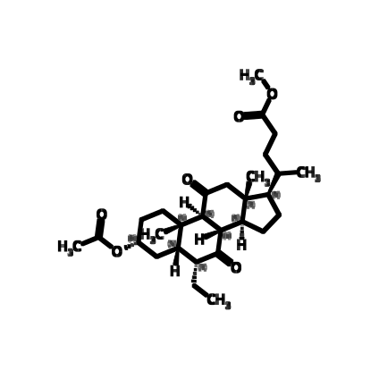 CC[C@H]1C(=O)[C@H]2[C@@H]3CC[C@H](C(C)CCC(=O)OC)[C@@]3(C)CC(=O)[C@@H]2[C@@]2(C)CC[C@@H](OC(C)=O)C[C@@H]12